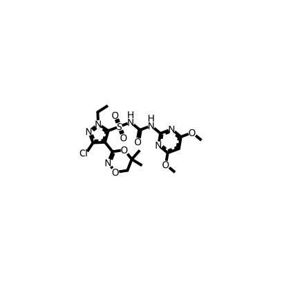 CCn1nc(Cl)c(C2=NOCC(C)(C)O2)c1S(=O)(=O)NC(=O)Nc1nc(OC)cc(OC)n1